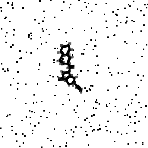 N#CN1Cc2[nH]nc(Nc3cc4ccccc4cn3)c2C1